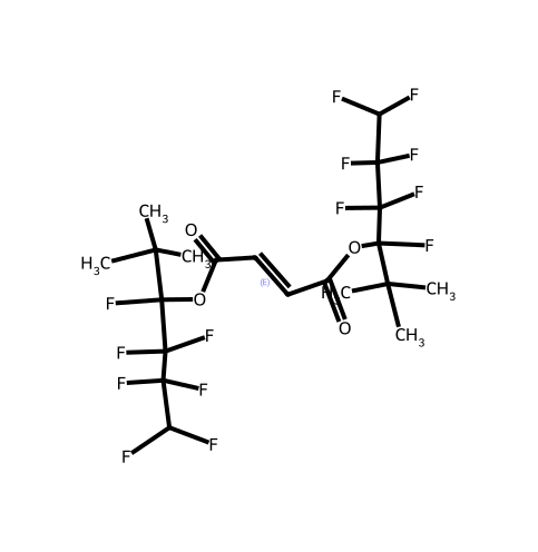 CC(C)(C)C(F)(OC(=O)/C=C/C(=O)OC(F)(C(C)(C)C)C(F)(F)C(F)(F)C(F)F)C(F)(F)C(F)(F)C(F)F